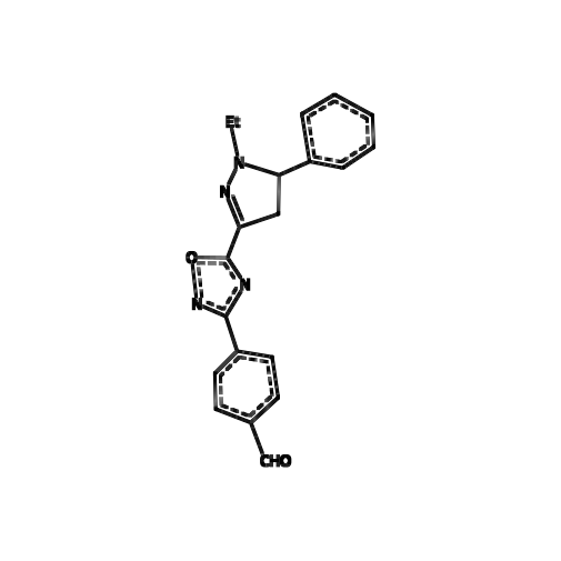 CCN1N=C(c2nc(-c3ccc(C=O)cc3)no2)CC1c1ccccc1